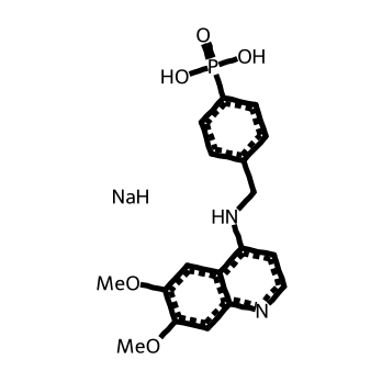 COc1cc2nccc(NCc3ccc(P(=O)(O)O)cc3)c2cc1OC.[NaH]